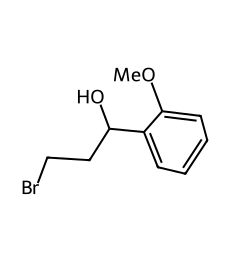 COc1ccccc1C(O)CCBr